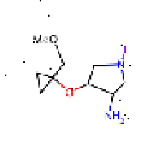 COCC1(OC2CN(I)CC2N)CC1